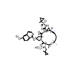 CCOc1ccc2c(O[C@@H]3C[C@H]4C(=O)N[C@]5(C(=O)NS(=O)(=O)C6(C)CC6)C[C@H]5/C=C\CC[C@H](C)C[C@@H](C)[C@H](N(CC5(C)CC5)C(=O)O)C(=O)N4C3)nccc2c1